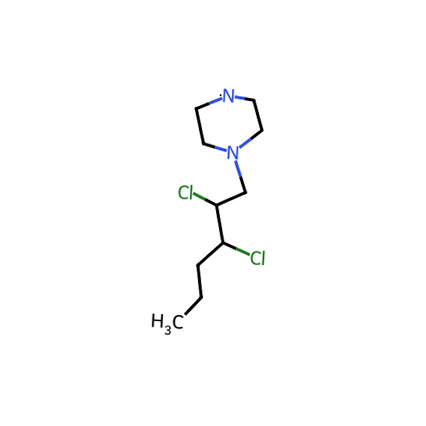 CCCC(Cl)C(Cl)CN1CC[N]CC1